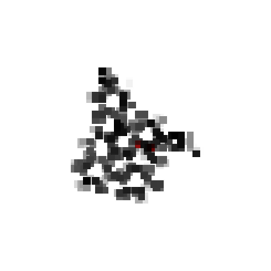 Cc1ccc(N(c2ccc(C)cc2)c2ccc3ccccc3c2-c2cccc3ccccc23)cc1